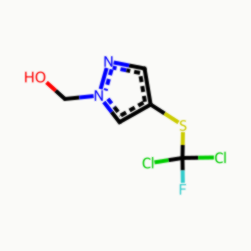 OCn1cc(SC(F)(Cl)Cl)cn1